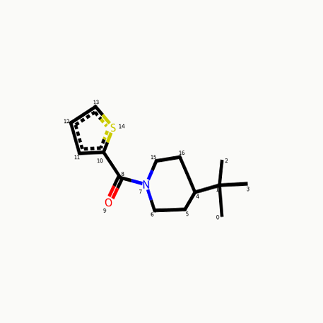 CC(C)(C)C1CCN(C(=O)c2cccs2)CC1